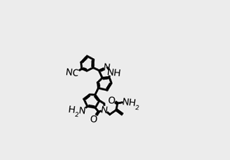 C=C(CN1Cc2c(-c3ccc4[nH]nc(-c5cccc(C#N)c5)c4c3)ccc(N)c2C1=O)C(N)=O